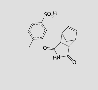 Cc1ccc(S(=O)(=O)O)cc1.O=C1NC(=O)C2C3C=CC(C3)C12